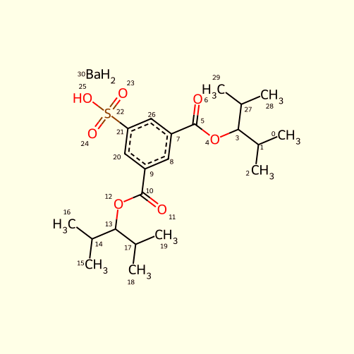 CC(C)C(OC(=O)c1cc(C(=O)OC(C(C)C)C(C)C)cc(S(=O)(=O)O)c1)C(C)C.[BaH2]